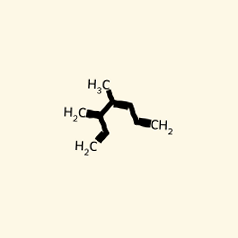 C=CC=C(C)C(=C)C=C